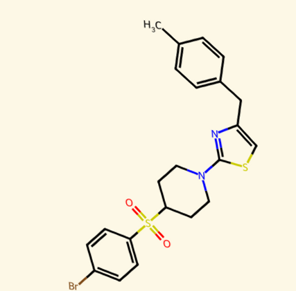 Cc1ccc(Cc2csc(N3CCC(S(=O)(=O)c4ccc(Br)cc4)CC3)n2)cc1